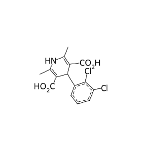 CC1=C(C(=O)O)C(c2cccc(Cl)c2Cl)C(C(=O)O)=C(C)N1